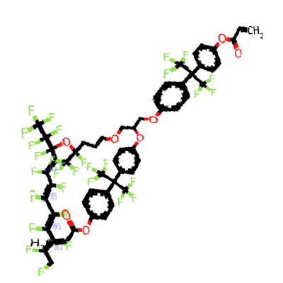 C=CC(=O)Oc1ccc(C(c2ccc(OCC(COCCCC(F)(OC(F)(/C(F)=C(F)/C(F)=C(F)/C(F)=C(F)/C(F)=C(\F)CF)C(F)(F)C(F)(F)F)C(F)(F)F)Oc3ccc(C(c4ccc(OC(=O)C=C)cc4)(C(F)(F)F)C(F)(F)F)cc3)cc2)(C(F)(F)F)C(F)(F)F)cc1